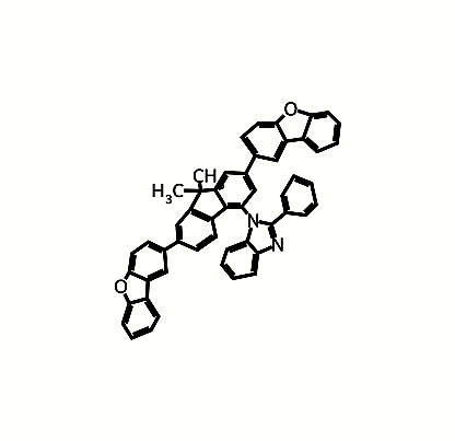 CC1(C)c2cc(-c3ccc4oc5ccccc5c4c3)ccc2-c2c(-n3c(-c4ccccc4)nc4ccccc43)cc(-c3ccc4oc5ccccc5c4c3)cc21